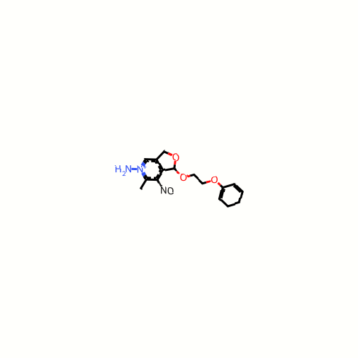 Cc1c(N=O)c2c(c[n+]1N)COC2OCCOC1=CCCC=C1